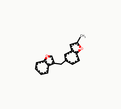 Cc1cc2cc(Cc3coc4ccccc34)ccc2o1